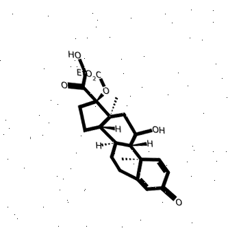 CCOC(=O)O[C@]1(C(=O)CO)CC[C@H]2[C@@H]3CCC4=CC(=O)C=C[C@]4(C)[C@H]3C(O)C[C@@]21C